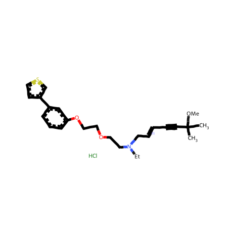 CCN(C/C=C/C#CC(C)(C)OC)CCOCCOc1cccc(-c2ccsc2)c1.Cl